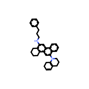 C1=CC2=C(CC1)N(c1cc3c4c(c(NCCCc5ccccc5)cc3c3ccccc13)CCCC4)CCC2